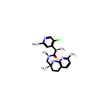 CCN(C[C@@]1(C)CCc2ccc(C)nc2N1)C(=O)[C@H](C)c1cc(OC)ncc1Cl